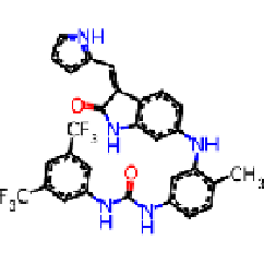 Cc1ccc(NC(=O)Nc2cc(C(F)(F)F)cc(C(F)(F)F)c2)cc1Nc1ccc2c(c1)NC(=O)/C2=C\c1ccc[nH]1